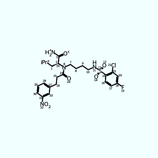 CC(C)C[C@@H](C(N)=O)N(CCCCNS(=O)(=O)c1ccc(F)cc1Cl)C(=O)CCc1cccc([N+](=O)[O-])c1